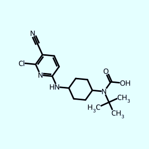 CC(C)(C)N(C(=O)O)C1CCC(Nc2ccc(C#N)c(Cl)n2)CC1